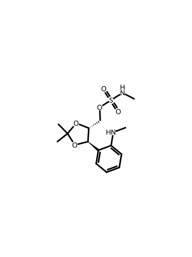 CNc1ccccc1[C@H]1OC(C)(C)O[C@@H]1COS(=O)(=O)NC